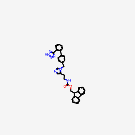 O=C(NCCc1cncn1Cc1ccc(-c2ccccc2-c2nn[nH]n2)cc1)OCC1c2ccccc2-c2ccccc21